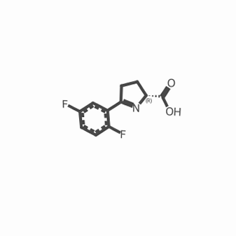 O=C(O)[C@H]1CCC(c2cc(F)ccc2F)=N1